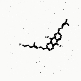 CC(C)=CCCc1ccc2c(O)c3ccc(CC/C=C(\C)CCCC(C)C)cc3c(O)c2c1